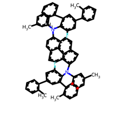 Cc1cccc(N(c2c(F)cc(-c3ccccc3C)cc2-c2ccccc2C)c2ccc3ccc4c(N(c5cccc(C)c5)c5c(F)cc(-c6ccccc6C)cc5-c5ccccc5C)ccc5ccc2c3c54)c1